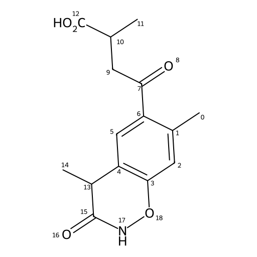 Cc1cc2c(cc1C(=O)CC(C)C(=O)O)C(C)C(=O)NO2